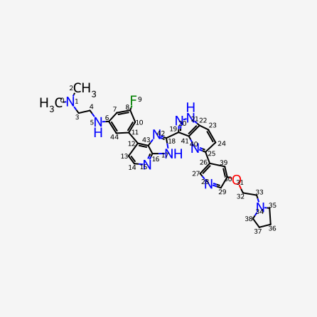 CN(C)CCNc1cc(F)cc(-c2ccnc3[nH]c(-c4n[nH]c5ccc(-c6cncc(OCCN7CCCC7)c6)nc45)nc23)c1